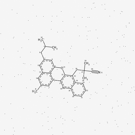 Cc1cc2c3c(cc(CC(C)C)cc3c1)Oc1c-2nc2ccccc2c1CC(C)(C)C#N